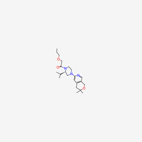 CCCOCC(=O)N1CCN(c2cc3c(cn2)COC(C)(C)C3)C[C@H]1C(C)C